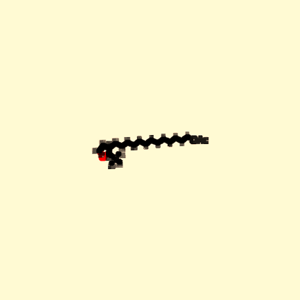 CC(=O)OCCCCCCCCCCCCCc1ccoc1[Si](C)(C)C